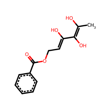 CC(O)=C(O)C(O)=CCOC(=O)c1ccccc1